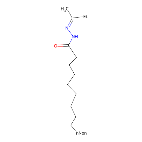 CCCCCCCCCCCCCCCCCC(=O)N/N=C(/C)CC